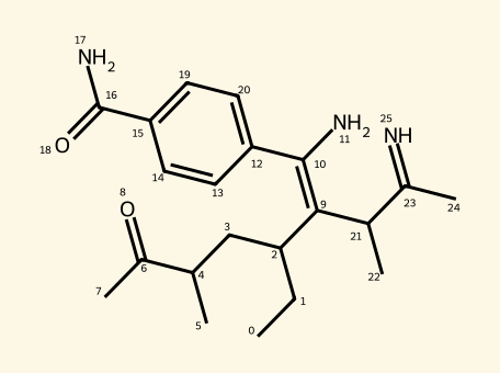 CCC(CC(C)C(C)=O)/C(=C(/N)c1ccc(C(N)=O)cc1)C(C)C(C)=N